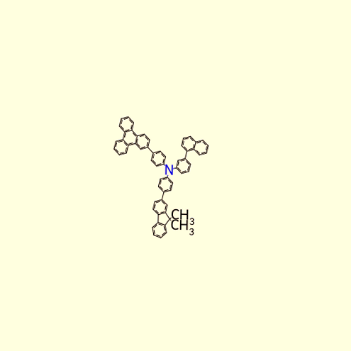 CC1(C)c2ccccc2-c2ccc(-c3ccc(N(c4ccc(-c5ccc6c7ccccc7c7ccccc7c6c5)cc4)c4cccc(-c5cccc6ccccc56)c4)cc3)cc21